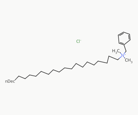 CCCCCCCCCCCCCCCCCCCCCCCCCCCC[N+](C)(C)Cc1ccccc1.[Cl-]